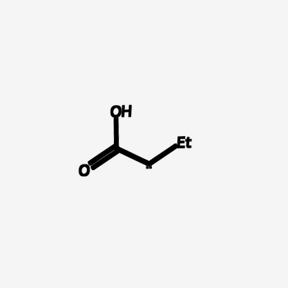 CC[C]C(=O)O